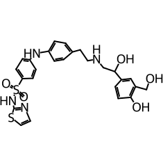 O=S(=O)(Nc1nccs1)c1ccc(Nc2ccc(CCNCC(O)c3ccc(O)c(CO)c3)cc2)cc1